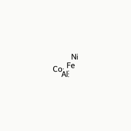 [Al].[Co].[Fe].[Ni]